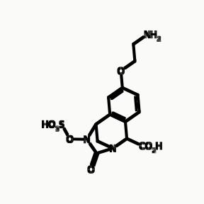 NCCOc1ccc2c(c1)C1CN(C(=O)N1OS(=O)(=O)O)C2C(=O)O